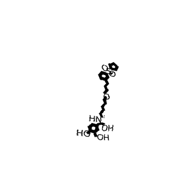 O=S(=O)(c1cccc(CCCCOCCCCC[C]NC(CO)c2ccc(O)c(CO)c2)c1)C1CCCC1